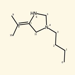 CCCCN1CNC(=C(C)C)C1